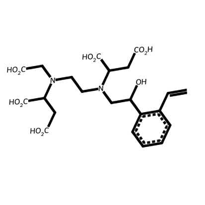 C=Cc1ccccc1C(O)CN(CCN(CC(=O)O)C(CC(=O)O)C(=O)O)C(CC(=O)O)C(=O)O